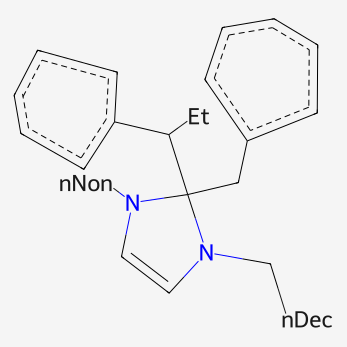 CCCCCCCCCCCN1C=CN(CCCCCCCCC)C1(Cc1ccccc1)C(CC)c1ccccc1